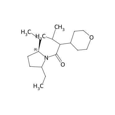 CCC1CC[C@@H](CC)N1C(=O)C(C(C)C)C1CCOCC1